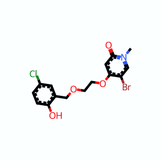 Cn1cc(Br)c(OCCOCc2cc(Cl)ccc2O)cc1=O